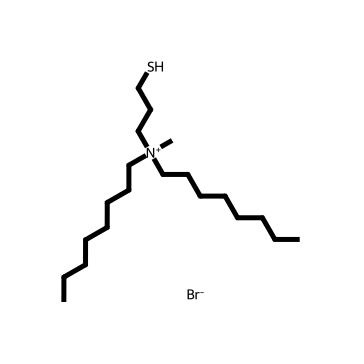 CCCCCCCC[N+](C)(CCCS)CCCCCCCC.[Br-]